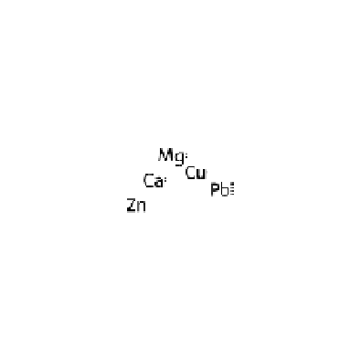 [Ca].[Cu].[Mg].[Pb].[Zn]